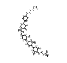 CCCCCc1cnc(-c2ccc(C(F)(F)Oc3ccc(-c4ccc(-c5cc(F)c(CCC=C(F)F)c(F)c5)c(F)c4)c(F)c3)c(F)c2)nc1